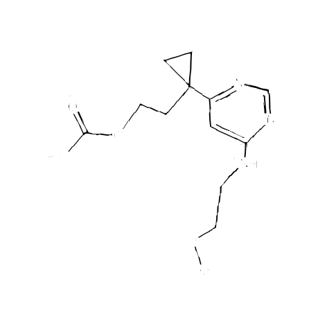 COCCNc1cc(C2(CCOC(C)=O)CC2)ncn1